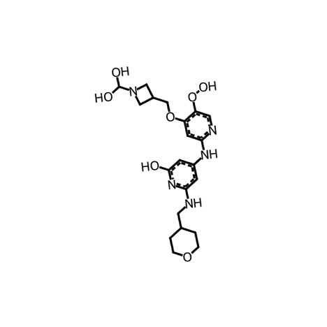 OOc1cnc(Nc2cc(O)nc(NCC3CCOCC3)c2)cc1OCC1CN(C(O)O)C1